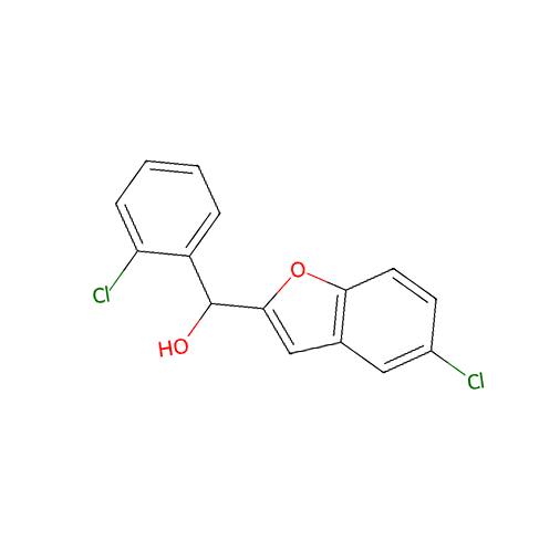 OC(c1cc2cc(Cl)ccc2o1)c1ccccc1Cl